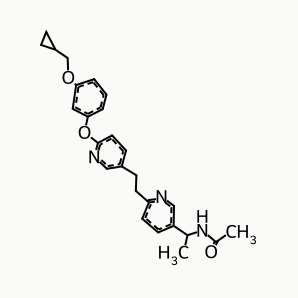 CC(=O)NC(C)c1ccc(CCc2ccc(Oc3cccc(OCC4CC4)c3)nc2)nc1